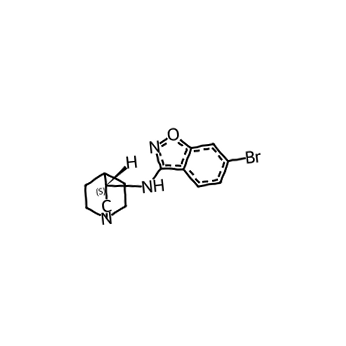 Brc1ccc2c(N[C@@H]3CN4CCC3CC4)noc2c1